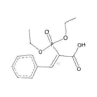 CCOP(=O)(OCC)/C(=C\c1ccccc1)C(=O)O